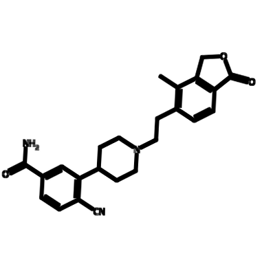 Cc1c(CCN2CCC(c3cc(C(N)=O)ccc3C#N)CC2)ccc2c1COC2=O